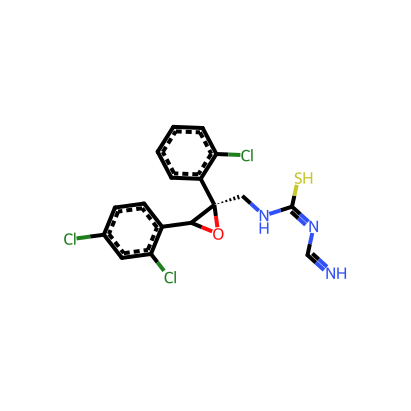 N=C/N=C(/S)NC[C@]1(c2ccccc2Cl)OC1c1ccc(Cl)cc1Cl